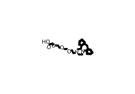 O=C(O)COCCOCCOCCN1CCN2c3ccccc3Cc3ccccc3C2C1